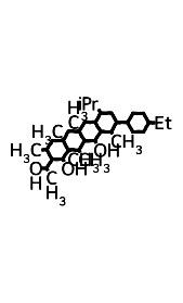 CCC1CCC(C2CC(C(C)C)C3CC4(C)CC5(C)CC(C)C(C(C)O)C(O)C5(C)C(C)C4C(O)C3C2C)CC1